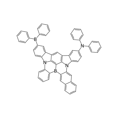 c1ccc(B(c2ccccc2)c2ccc3c(c2)c2cc4c5cc(N(c6ccccc6)c6ccccc6)ccc5n5c4c4c2n3-c2ccccc2B4c2cc3ccccc3cc2-5)cc1